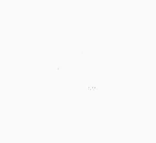 CNCC1C(I)C1C(C)C